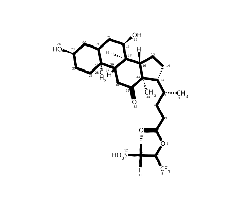 C[C@H](CCC(=O)OC(C(F)(F)F)C(F)(F)S(=O)(=O)O)[C@H]1CC[C@H]2[C@@H]3[C@H](O)CC4C[C@H](O)CC[C@]4(C)[C@H]3CC(=O)[C@]12C